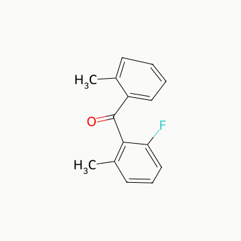 Cc1ccccc1C(=O)c1c(C)cccc1F